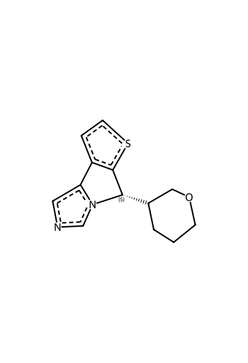 c1cc2c(s1)[C@H](C1CCCOC1)n1cncc1-2